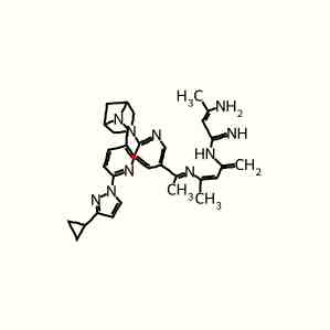 C=C(/C=C(C)\N=C(/C)c1ccc(N2CC3CC(C2)N3Cc2ccc(-n3ccc(C4CC4)n3)nc2)nc1)NC(=N)/C=C(/C)N